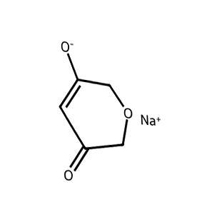 O=C1C=C([O-])COC1.[Na+]